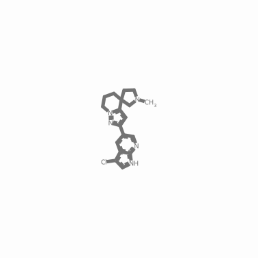 CN1CCC2(CCCn3nc(-c4cnc5[nH]cc(Cl)c5c4)cc32)C1